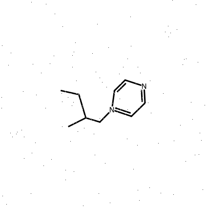 CCC(C)C[n+]1ccncc1